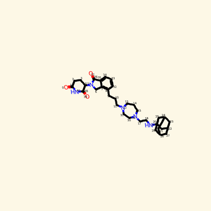 O=C1CCC(N2Cc3c(CCCN4CCCN(CCNC56CC7CC(CC(C7)C5)C6)CC4)cccc3C2=O)C(=O)N1